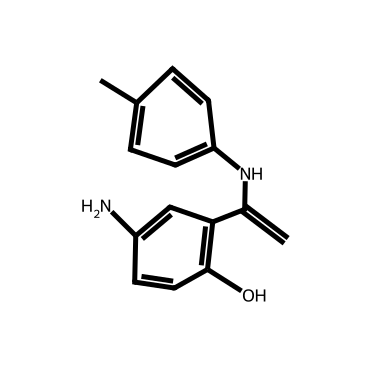 C=C(Nc1ccc(C)cc1)c1cc(N)ccc1O